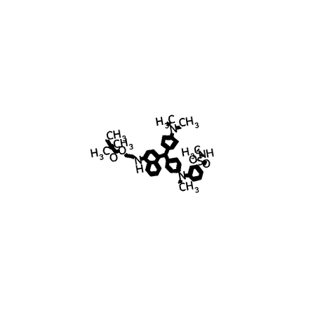 CCN(CC)c1ccc(C(c2ccc(N(CC)c3cccc(S(=O)(=O)NC)c3)cc2)c2ccc(NCCOC(=O)C(C)(C)CC)c3ccccc23)cc1